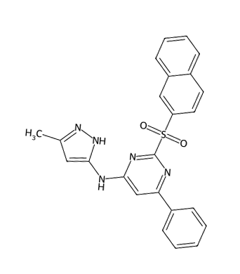 Cc1cc(Nc2cc(-c3ccccc3)nc(S(=O)(=O)c3ccc4ccccc4c3)n2)[nH]n1